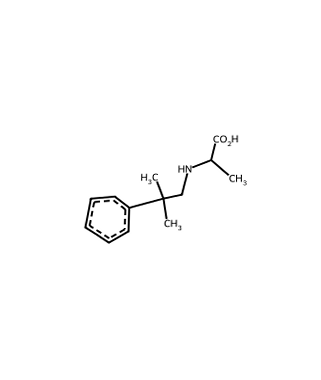 CC(NCC(C)(C)c1ccccc1)C(=O)O